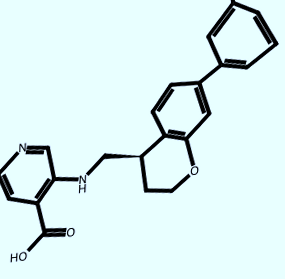 Cc1cccc(-c2ccc3c(c2)OCC[C@H]3CNc2cnccc2C(=O)O)c1